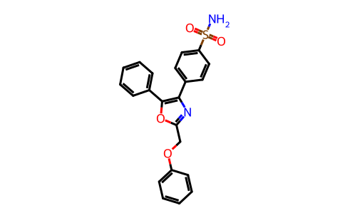 NS(=O)(=O)c1ccc(-c2nc(COc3ccccc3)oc2-c2ccccc2)cc1